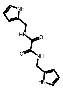 O=C(NCc1ccc[nH]1)C(=O)NCc1ccc[nH]1